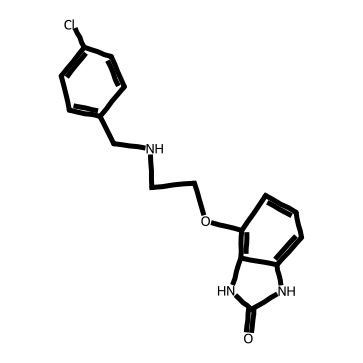 O=c1[nH]c2cccc(OCCNCc3ccc(Cl)cc3)c2[nH]1